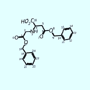 O=C(CNC(CC(=O)OCc1ccccc1)C(=O)O)OCc1ccccc1